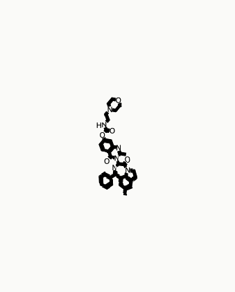 Cc1cc2c3c(c1)C(c1ccccc1)=NC(n1c(C)nc4cc(OC(=O)NCCN5CCOCC5)ccc4c1=O)C(=O)N3CC2